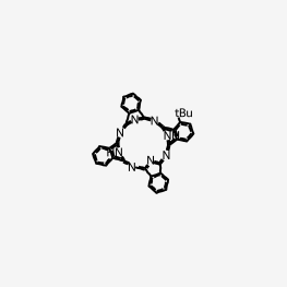 CC(C)(C)c1cccc2c3nc4nc(nc5[nH]c(nc6nc(nc([nH]3)c12)-c1ccccc1-6)c1ccccc51)-c1ccccc1-4